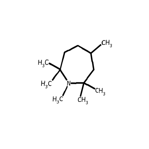 CC1CCC(C)(C)N(C)C(C)(C)C1